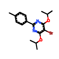 Cc1ccc(-c2nc(OC(C)C)c(Br)c(OC(C)C)n2)cc1